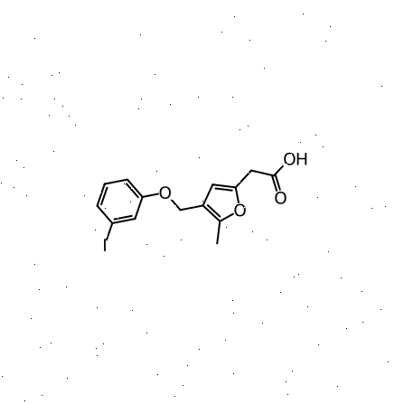 Cc1oc(CC(=O)O)cc1COc1cccc(I)c1